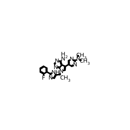 CC(c1cnc(-c2ccccc2F)[nH]1)n1cc(-c2cnc(N(C)C)nc2)c2c(N)ncnc21